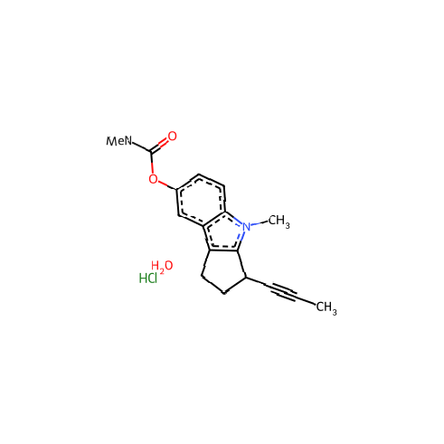 CC#CC1CCc2c1n(C)c1ccc(OC(=O)NC)cc21.Cl.O